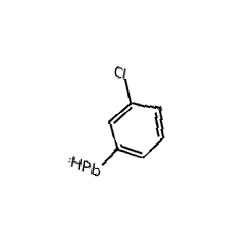 Clc1ccc[c]([PbH])c1